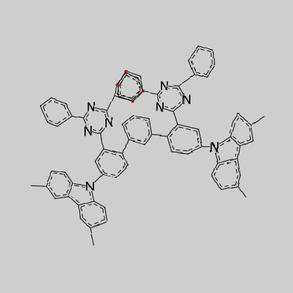 Cc1ccc2c(c1)c1cc(C)ccc1n2-c1ccc(-c2cccc(-c3ccc(-n4c5ccc(C)cc5c5cc(C)ccc54)cc3-c3nc(-c4ccccc4)nc(-c4ccccc4)n3)c2)c(-c2nc(-c3ccccc3)nc(-c3ccccc3)n2)c1